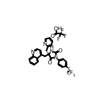 O=C(O)C(F)(F)F.O=C1N[C@](Cc2ccccn2)(Cc2ccnc3ccccc23)C(=O)N1c1ccc(SC(F)(F)F)cc1